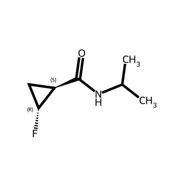 CC(C)NC(=O)[C@@H]1C[C@H]1F